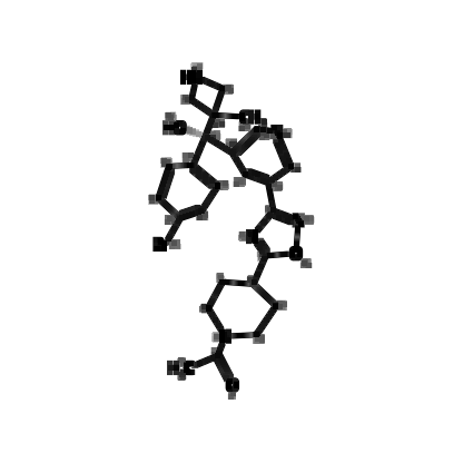 CC(=O)N1CCC(c2nc(-c3cncc([C@@](O)(c4ccc(Br)cc4)C4(C)CNC4)c3)no2)CC1